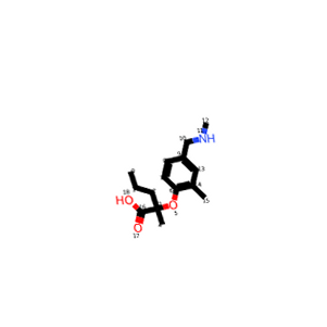 CCCC(C)(Oc1ccc(CNC)cc1C)C(=O)O